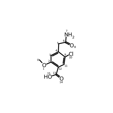 COc1cc(CC(N)=O)c(Cl)cc1C(=O)O